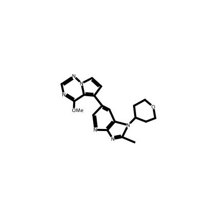 COc1ncnn2ccc(-c3cnc4nc(C)n(C5CCOCC5)c4c3)c12